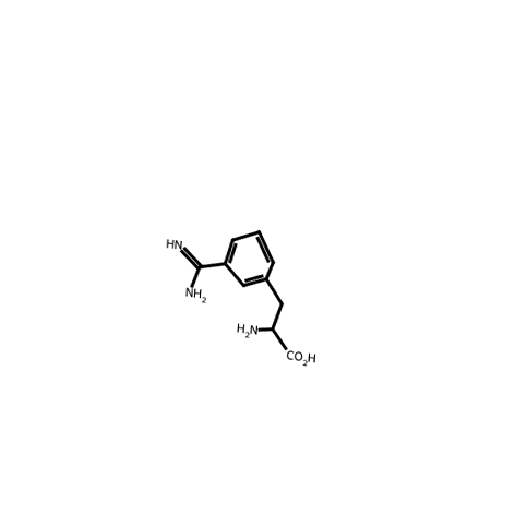 N=C(N)c1cccc(CC(N)C(=O)O)c1